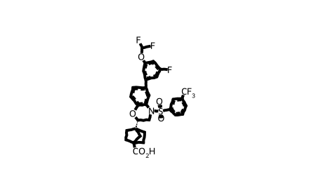 O=C(O)C12CCC([C@H]3CN(S(=O)(=O)c4cccc(C(F)(F)F)c4)c4cc(-c5cc(F)cc(OC(F)F)c5)ccc4O3)(CC1)C2